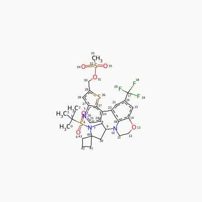 CC(C)(C)S(=O)(=O)N1CC(N2CCOc3cc(C(F)(F)F)cc(-c4ccnc5cc(COS(C)(=O)=O)sc45)c32)CC12CCC2